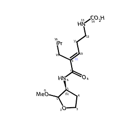 COC1OCC[C@@H]1NC(=O)/C(=C/CCNC(=O)O)CC(C)C